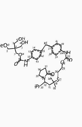 COCC(CO)(CO)COC(=O)Nc1ccc(Cc2ccc(NC(=O)OCCSC(C)(C)CC(C(C)C)N3CCCC3=O)cc2)cc1